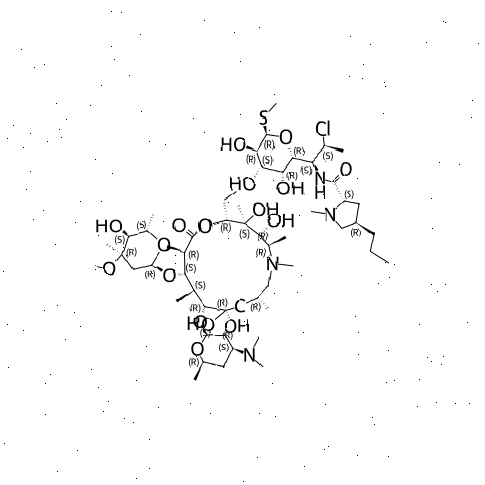 CCC[C@@H]1C[C@@H](C(=O)N[C@@H]([C@H]2O[C@H](SC)[C@H](O)[C@@H](O)[C@H]2O)[C@H](C)Cl)N(C)C1.CC[C@H]1OC(=O)[C@H](C)[C@@H](O[C@H]2C[C@@](C)(OC)[C@@H](O)[C@H](C)O2)[C@H](C)[C@@H](O[C@@H]2O[C@H](C)C[C@H](N(C)C)[C@H]2O)[C@](C)(O)C[C@@H](C)CN(C)[C@H](C)[C@@H](O)[C@]1(C)O